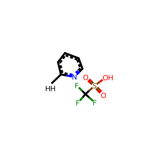 Cc1ccccn1.O=S(=O)(O)C(F)(F)F.[HH]